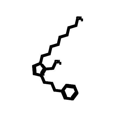 CCCCCCCCCn1cc[n+](CCCc2ccccc2)c1CC